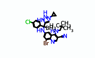 BC(Nc1cc(Br)c2ncc(C#N)c(NCC(C)(C)C)c2c1)(C1=CN(C2CC2)NN1)c1ccc(Cl)cc1